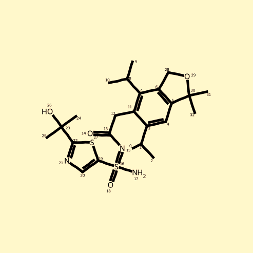 CC(C)c1cc2c(c(C(C)C)c1CC(=O)N=S(N)(=O)c1cnc(C(C)(C)O)s1)COC2(C)C